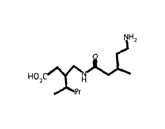 CC(CCN)CC(=O)NCC(CC(=O)O)C(C)C(C)C